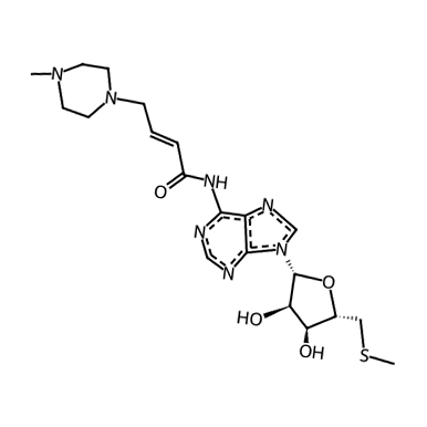 CSC[C@H]1O[C@@H](n2cnc3c(NC(=O)/C=C/CN4CCN(C)CC4)ncnc32)[C@H](O)[C@@H]1O